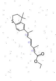 CCOC(=O)/C=C(C)/C=C/C=C(\C)c1ccc2c(c1)C(C)(C)CCS2